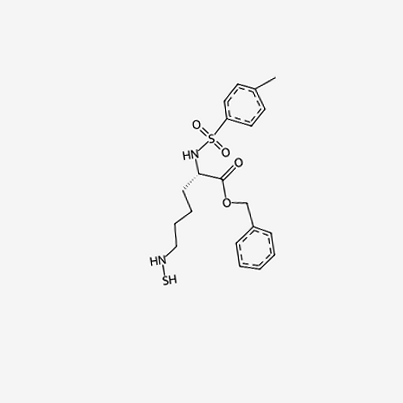 Cc1ccc(S(=O)(=O)N[C@@H](CCCCNS)C(=O)OCc2ccccc2)cc1